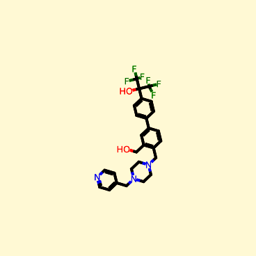 OCc1cc(-c2ccc(C(O)(C(F)(F)F)C(F)(F)F)cc2)ccc1CN1CCN(Cc2ccncc2)CC1